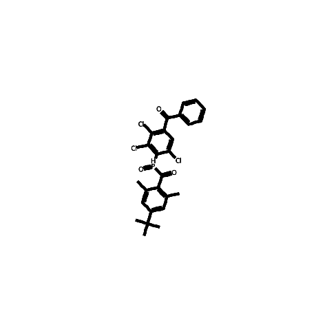 Cc1cc(C(C)(C)C)cc(C)c1C(=O)[PH](=O)c1c(Cl)cc(C(=O)c2ccccc2)c(Cl)c1Cl